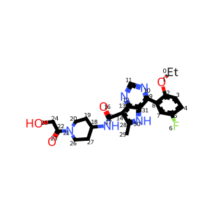 CCOc1ccc(F)cc1-c1ncnc2c(C(=O)NC3CCN(C(=O)CO)CC3)c(C)[nH]c12